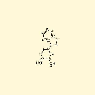 Oc1ccc(C2CCc3ccccc32)cc1O